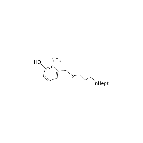 CCCCCCCCCCSCc1cccc(O)c1C